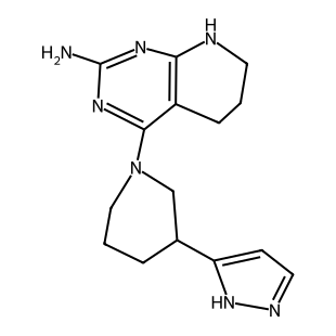 Nc1nc2c(c(N3CCCC(c4ccn[nH]4)C3)n1)CCCN2